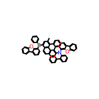 Cc1cc(N(c2ccccc2-c2ccccc2)c2cccc3c2oc2ccccc23)c2c3ccccc3c3c(C)cc(B(c4ccccc4)c4cccc5c4oc4ccccc45)c4ccc1c2c43